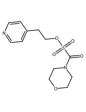 O=C(N1CCOCC1)S(=O)(=O)OCCc1ccncc1